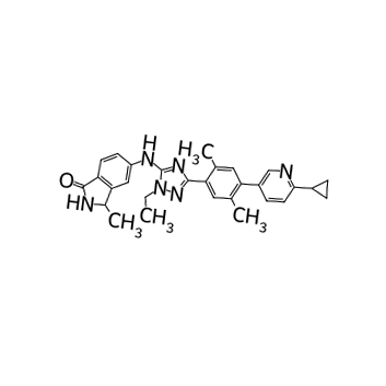 CCn1nc(-c2cc(C)c(-c3ccc(C4CC4)nc3)cc2C)nc1Nc1ccc2c(c1)C(C)NC2=O